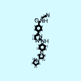 N#CCNC(=O)c1ccc(-c2ccnc(Nc3ccc(N4CCC(N5CCCC5)C4)cc3)n2)cc1